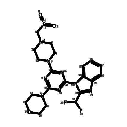 O=[SH](=O)CN1CCN(c2nc(N3CCOCC3)nc(-n3c(C(F)F)nc4ccccc43)n2)CC1